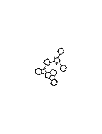 c1ccc(-c2cc(-c3ccccc3)nc(-c3cccc(-n4c5ccccc5c5cc6c7c(cccc7c54)-c4ccccc4-6)c3)n2)cc1